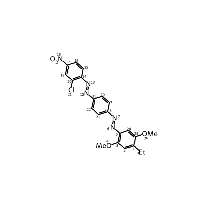 CCc1cc(OC)c(N=Nc2ccc(N=Nc3ccc([N+](=O)[O-])cc3Cl)cc2)cc1OC